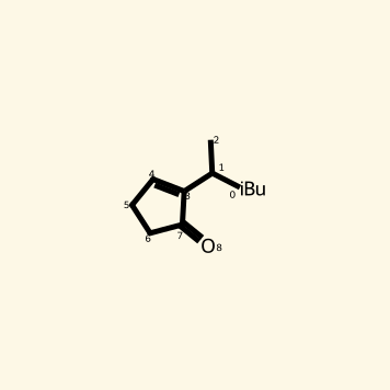 CCC(C)C(C)C1=CCCC1=O